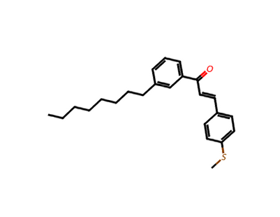 CCCCCCCCc1cccc(C(=O)C=Cc2ccc(SC)cc2)c1